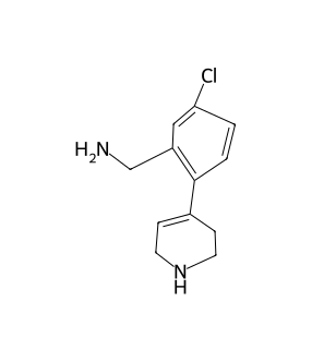 NCc1cc(Cl)ccc1C1=CCNCC1